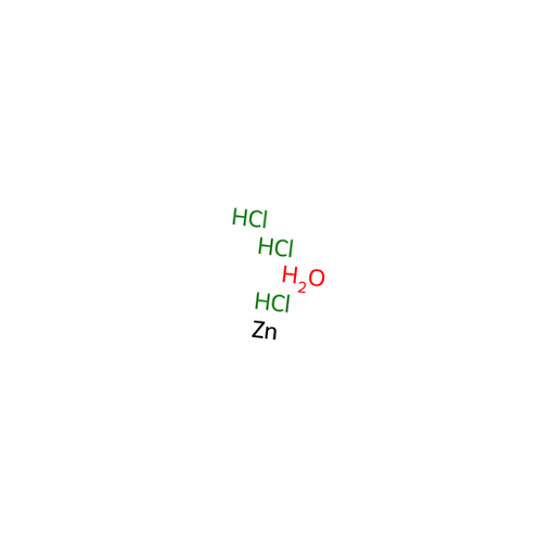 Cl.Cl.Cl.O.[Zn]